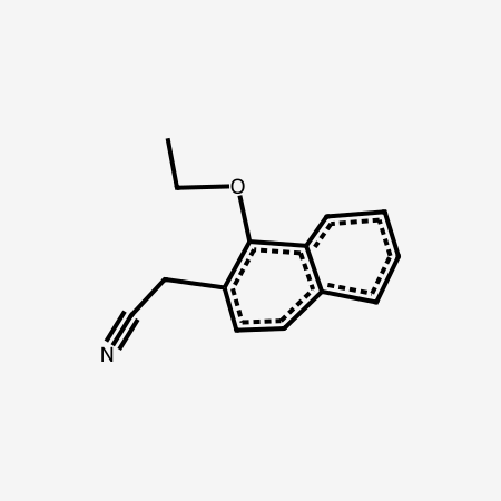 CCOc1c(CC#N)ccc2ccccc12